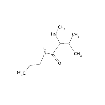 CCCNC(=O)C(NC)C(C)C